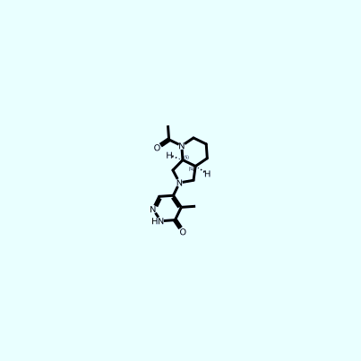 CC(=O)N1CCC[C@H]2CN(c3cn[nH]c(=O)c3C)C[C@H]21